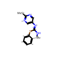 CSc1ncc(/N=C(/NC(C)(C)C)Sc2ccccc2)cn1